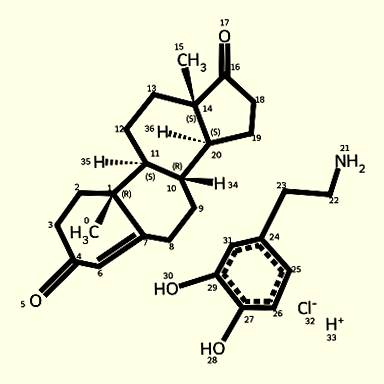 C[C@]12CCC(=O)C=C1CC[C@@H]1[C@@H]2CC[C@]2(C)C(=O)CC[C@@H]12.NCCc1ccc(O)c(O)c1.[Cl-].[H+]